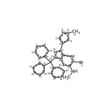 CNc1cc2c(nc1Br)c(-c1cnn(C)c1)nn2C(c1ccccc1)(c1ccccc1)c1ccccc1